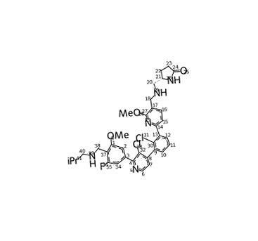 COc1cc(-c2nccc(-c3cccc(-c4ccc(CNC[C@@H]5CCC(=O)N5)c(OC)n4)c3Cl)c2Cl)cc(F)c1CNCC(C)C